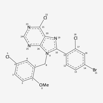 COc1ccc(Cl)cc1Cn1c(-c2ccc(Br)cc2Cl)nc2c(Cl)ncnc21